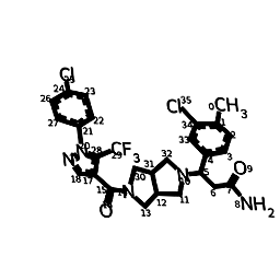 Cc1ccc(C(CC(N)=O)N2CC3CN(C(=O)c4cnn(-c5ccc(Cl)cc5)c4C(F)(F)F)CC3C2)cc1Cl